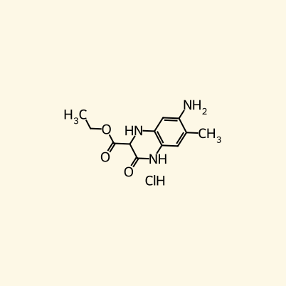 CCOC(=O)C1Nc2cc(N)c(C)cc2NC1=O.Cl